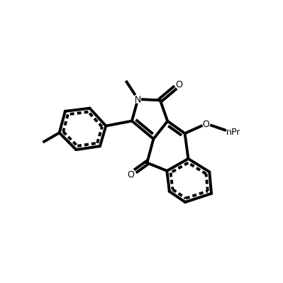 CCCOC1=C2C(=O)N(C)C(c3ccc(C)cc3)=C2C(=O)c2ccccc21